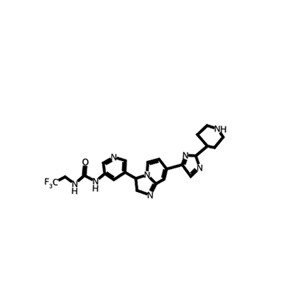 O=C(NCC(F)(F)F)Nc1cncc(C2CN=C3C=C(C4=NC(C5CCNCC5)N=C4)C=CN32)c1